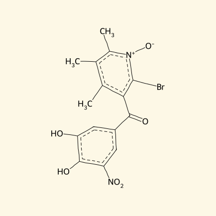 Cc1c(C)c(C)[n+]([O-])c(Br)c1C(=O)c1cc(O)c(O)c([N+](=O)[O-])c1